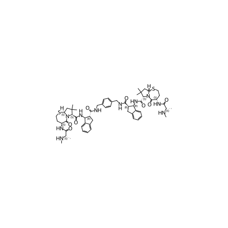 CN[C@@H](C)C(=O)N[C@H]1CCS[C@H]2CC(C)(C)[C@@H](C(=O)NC3c4ccccc4C[C@H]3C(=O)NCc3ccc(CNC(=O)[C@@H]4Cc5ccccc5[C@@H]4NC(=O)[C@H]4N5C(=O)[C@@H](NC(=O)[C@H](C)NC)CCS[C@H]5CC4(C)C)cc3)N2C1=O